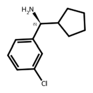 N[C@H](c1cccc(Cl)c1)C1CCCC1